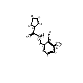 O=C(NCc1cccc(Cl)c1F)C1CCCC1